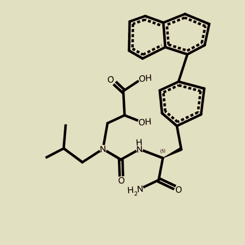 CC(C)CN(CC(O)C(=O)O)C(=O)N[C@@H](Cc1ccc(-c2cccc3ccccc23)cc1)C(N)=O